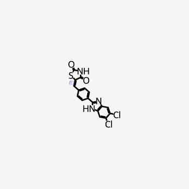 O=C1NC(=O)/C(=C\c2ccc(-c3nc4cc(Cl)c(Cl)cc4[nH]3)cc2)S1